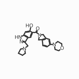 O=C(c1cc2c(CN3CCCC3)n[nH]c2cc1O)N1Cc2ccc(N3CCOCC3)cc2C1